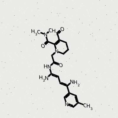 Cc1cncc(/C(N)=C/C=C(\N)NC(=O)CN2CCCC(C=O)=C2C(=O)N(C)C)c1